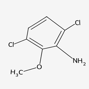 COc1c(Cl)ccc(Cl)c1N